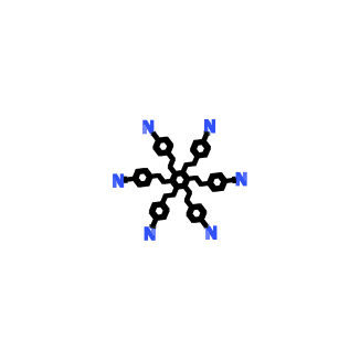 N#Cc1ccc(CCc2c(CCc3ccc(C#N)cc3)c(CCc3ccc(C#N)cc3)c(CCc3ccc(C#N)cc3)c(CCc3ccc(C#N)cc3)c2CCc2ccc(C#N)cc2)cc1